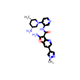 C[C@H]1C[C@@H](N)CN(c2ccncc2NC(=O)c2c(N)oc3cc(-c4cnn(C)c4)cnc23)C1